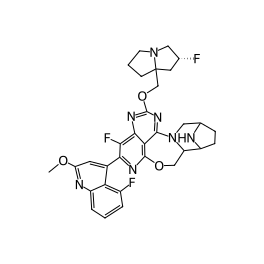 COc1cc(-c2nc3c4c(nc(OCC56CCCN5C[C@H](F)C6)nc4c2F)N2CC4CCC(N4)C2CO3)c2c(F)cccc2n1